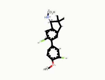 CCCOc1ccc(-c2cc3c(cc2F)[C@H](NC(=O)O)C(C)(C)C3)cc1F